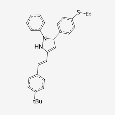 CCSc1ccc(C2C=C(C=Cc3ccc(C(C)(C)C)cc3)NN2c2ccccc2)cc1